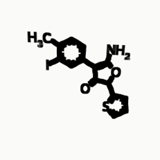 Cc1ccc(C2=C(N)OC(c3cccs3)C2=O)cc1I